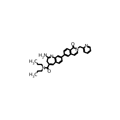 CCCN(CCC)C(=O)C1=Cc2ccc(-c3ccc4c(=O)n(Cc5ccccn5)ccc4c3)cc2N=C(N)C1